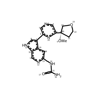 CO[C@@]1(c2cncc(-c3c[nH]c4cnc(NC(N)=O)cc34)n2)CCOC1